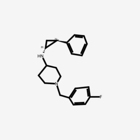 Fc1ccc(CN2CCC(N[C@@H]3C[C@H]3c3ccccc3)CC2)cc1